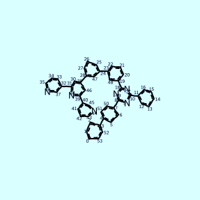 c1ccc(-c2ccc(-c3nc(-c4ccccc4)nc(-c4cccc(-c5cccc(-c6cc(-c7cccnc7)nc(-c7cccnc7)c6)c5)c4)n3)cc2)cc1